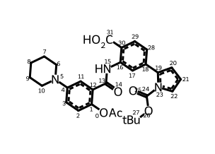 CC(=O)Oc1ccc(N2CCCCC2)cc1C(=O)Nc1cc(-c2cccn2C(=O)OC(C)(C)C)ccc1C(=O)O